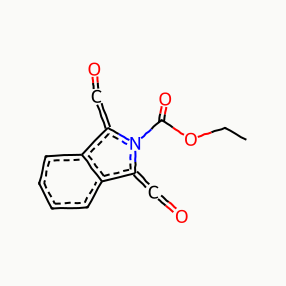 CCOC(=O)n1c(=C=O)c2ccccc2c1=C=O